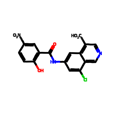 O=C(Nc1cc(Cl)c2cncc(C(=O)O)c2c1)c1cc([N+](=O)[O-])ccc1O